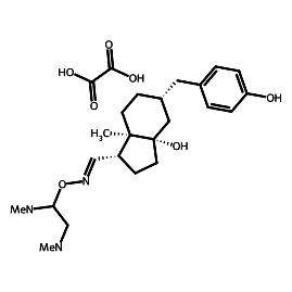 CNCC(NC)ON=C[C@H]1CC[C@]2(O)C[C@@H](Cc3ccc(O)cc3)CC[C@]12C.O=C(O)C(=O)O